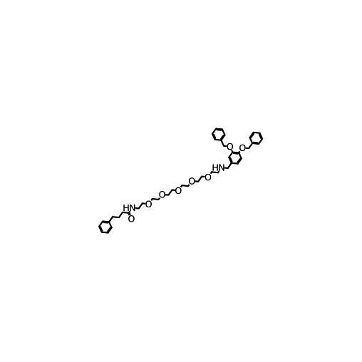 O=C(CCCc1ccccc1)NCCOCCOCCOCCOCCOCCNCc1ccc(OCc2ccccc2)c(OCc2ccccc2)c1